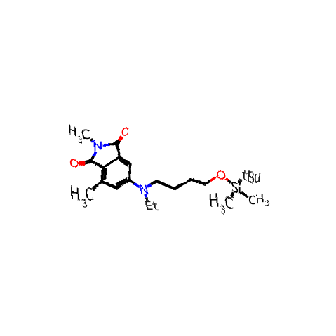 CCN(CCCCO[Si](C)(C)C(C)(C)C)c1cc(C)c2c(c1)C(=O)N(C)C2=O